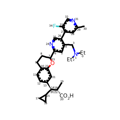 CCN(CC)Cc1cc(C2CCc3ccc([C@H](C4CC4)[C@H](C)C(=O)O)cc3O2)ncc1-c1cc(C)ncc1F